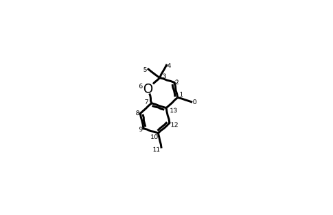 CC1=CC(C)(C)Oc2ccc(C)cc21